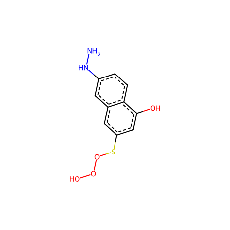 NNc1ccc2c(O)cc(SOOO)cc2c1